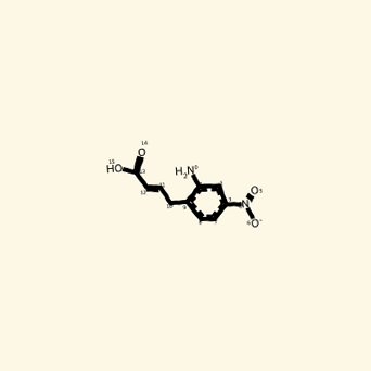 Nc1cc([N+](=O)[O-])ccc1CC=CC(=O)O